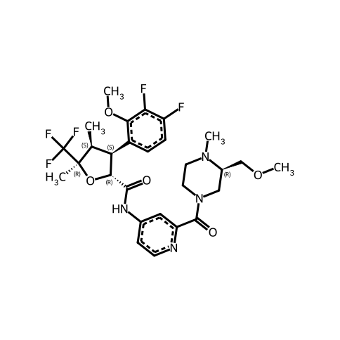 COC[C@H]1CN(C(=O)c2cc(NC(=O)[C@@H]3O[C@@](C)(C(F)(F)F)[C@@H](C)[C@H]3c3ccc(F)c(F)c3OC)ccn2)CCN1C